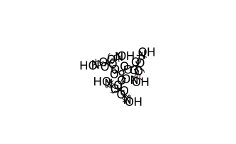 CCCCC(CCCOC(=O)c1cc(C(=O)OCCCC(CCCC)(C(=O)OC2CC(C)(C)N(O)C(C)(C)C2)C(=O)OC2CC(C)(C)N(O)C(C)(C)C2)cc(C(=O)OCCCC(CCCC)(C(=O)OC2CC(C)(C)N(O)C(C)(C)C2)C(=O)OC2CC(C)(C)N(O)C(C)(C)C2)c1)(C(=O)OC(CCC)CC(C)(C)N(O)CC)C(=O)OC1CC(C)(C)N(O)C(C)(C)C1